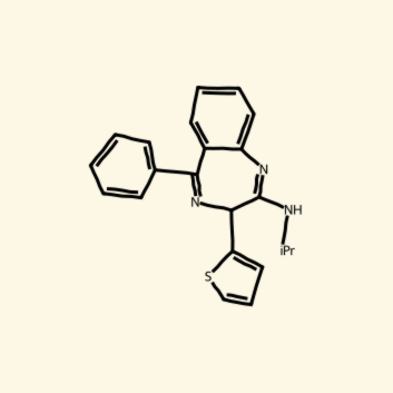 CC(C)NC1=Nc2ccccc2C(c2ccccc2)=NC1c1cccs1